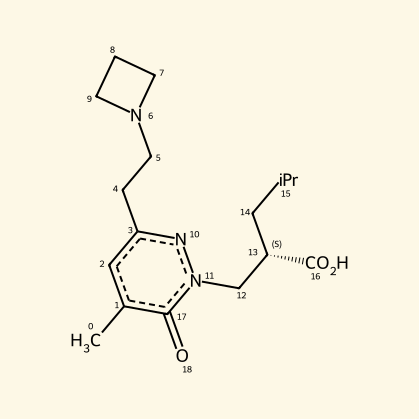 Cc1cc(CCN2CCC2)nn(C[C@H](CC(C)C)C(=O)O)c1=O